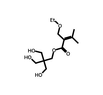 CCOCC(C(=O)OCC(CO)(CO)CO)=C(C)C